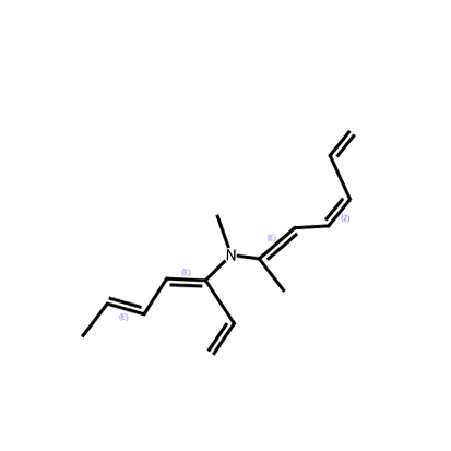 C=C/C=C\C=C(/C)N(C)/C(C=C)=C/C=C/C